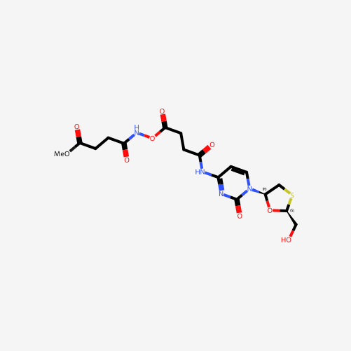 COC(=O)CCC(=O)NOC(=O)CCC(=O)Nc1ccn([C@H]2CS[C@@H](CO)O2)c(=O)n1